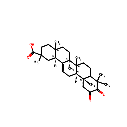 CC1(C(=O)O)CC[C@]2(C)CC[C@]3(C)C(=CC[C@@H]4[C@@]5(C)CC(=O)C(=O)C(C)(C)C5CC[C@]43C)[C@H]2C1